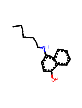 CCCCCNc1ccc(O)c2ccccc12